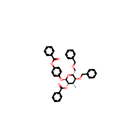 C[C@@H]1[C@H](OC(=O)c2ccccc2)[C@@H](Oc2ccc(OC(=O)c3ccccc3)cc2)O[C@H](COCc2ccccc2)[C@H]1OCc1ccccc1